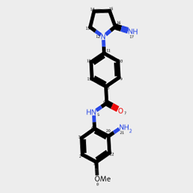 COc1ccc(NC(=O)c2ccc(N3CCCC3=N)cc2)c(N)c1